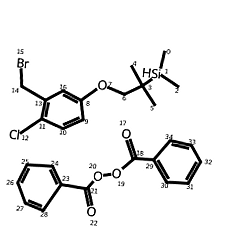 C[SiH](C)C(C)(C)COc1ccc(Cl)c(CBr)c1.O=C(OOC(=O)c1ccccc1)c1ccccc1